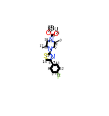 C[C@H]1CN(c2nc(-c3ccc(F)cc3)cs2)[C@@H](C)CN1C(=O)OC(C)(C)C